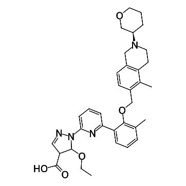 CCOC1C(C(=O)O)C=NN1c1cccc(-c2cccc(C)c2OCc2ccc3c(c2C)CCN([C@@H]2CCCOC2)C3)n1